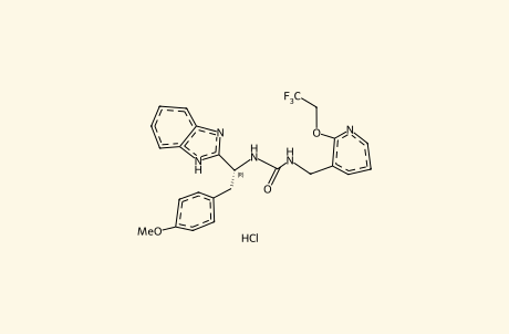 COc1ccc(C[C@@H](NC(=O)NCc2cccnc2OCC(F)(F)F)c2nc3ccccc3[nH]2)cc1.Cl